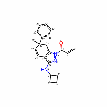 C=CC(=O)n1nc(NC2CCC2)c2c1CC(C)(c1ccccc1)C=C2